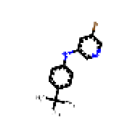 CC(C)(C)c1ccc(Nc2cncc(Br)c2)cc1